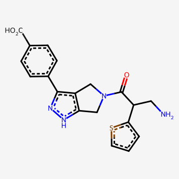 NCC(C(=O)N1Cc2[nH]nc(-c3ccc(C(=O)O)cc3)c2C1)c1cccs1